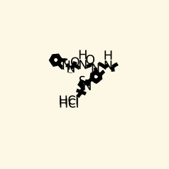 Cc1ccc(-c2nc(C(C)(C)C)cs2)cc1N(CCNC(C)C)C(=O)CNCC(=O)N(C)N1Cc2ccccc2C1.Cl.Cl